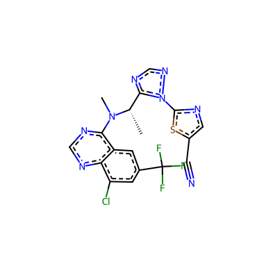 C[C@@H](c1ncnn1-c1ncc(C#N)s1)N(C)c1ncnc2c(Cl)cc(C(F)(F)F)cc12